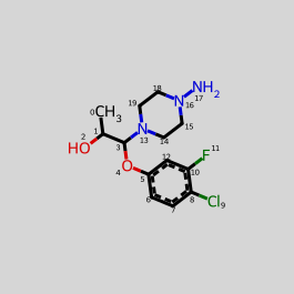 CC(O)C(Oc1ccc(Cl)c(F)c1)N1CCN(N)CC1